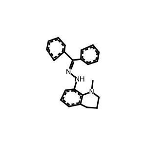 CN1CCCc2cccc(NN=C(c3ccccc3)c3ccccc3)c21